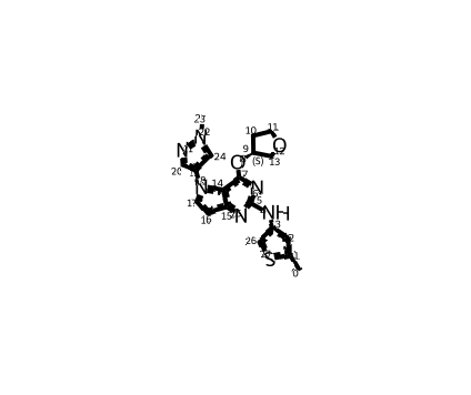 Cc1cc(Nc2nc(O[C@H]3CCOC3)c3c(ccn3-c3cnn(C)c3)n2)cs1